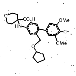 COc1cc(-c2ccc(NC3(C(=O)O)CCOCC3)cc2COC2CCCC2)cc(OC)c1C